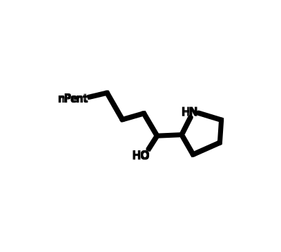 CCCCCCCCC(O)C1CCCN1